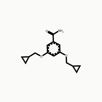 NC(=O)c1cc(OCC2CC2)cc(OCC2CC2)c1